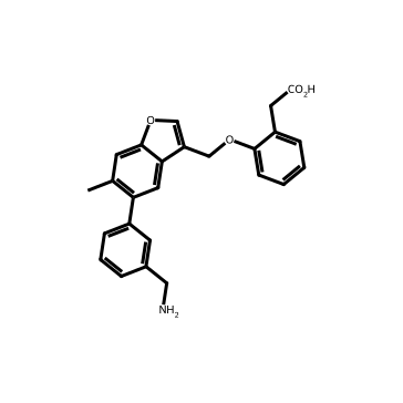 Cc1cc2occ(COc3ccccc3CC(=O)O)c2cc1-c1cccc(CN)c1